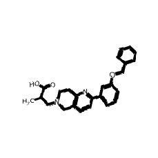 CC(CN1CCc2nc(-c3cccc(OCc4ccccc4)c3)ccc2C1)C(=O)O